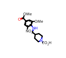 COC(=O)c1cc(OC)c(NCC2CCN(C(=O)O)CC2)c([N+](=O)[O-])c1